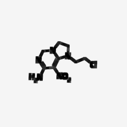 NC1=NCN2CCN(CCCl)C2=C1[N+](=O)[O-]